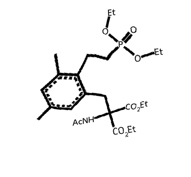 CCOC(=O)C(Cc1cc(C)cc(C)c1CCP(=O)(OCC)OCC)(NC(C)=O)C(=O)OCC